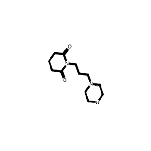 O=C1CCCC(=O)N1CCCN1CC[N]CC1